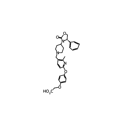 Cc1nc(Oc2ccc(OCC(=O)O)cc2)ccc1CN1CCC(N2C(=O)OC[C@H]2c2ccccc2)CC1